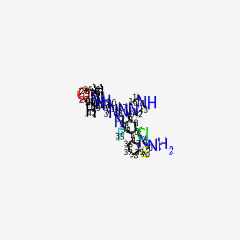 Nc1nc2c(-c3c(Cl)cc4c(N5CCNCC5)nc(N5CC(N6C[C@H]7COC[C@@H](C6)N7)C5)nc4c3F)cccc2s1